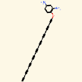 C#CC#CC#CC#CC#CC#CC#CC#CC#COc1ccc(N)cc1N